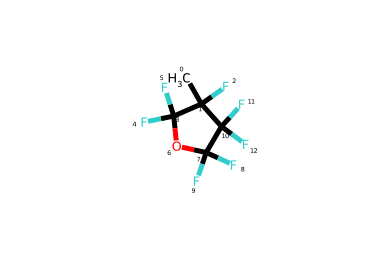 CC1(F)C(F)(F)OC(F)(F)C1(F)F